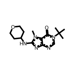 Cn1c(NC2CCOCC2)nc2ncn(C(C)(C)C)c(=O)c21